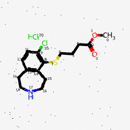 COC(=O)CCCSc1c(Cl)ccc2c1CCNCC2.Cl